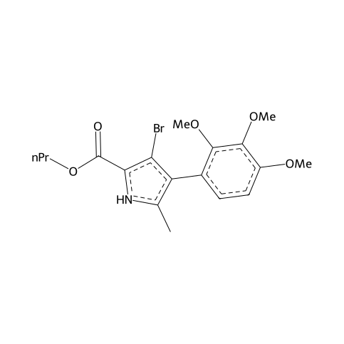 CCCOC(=O)c1[nH]c(C)c(-c2ccc(OC)c(OC)c2OC)c1Br